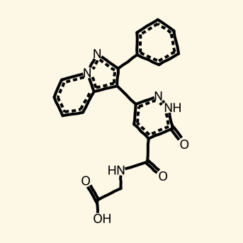 O=C(O)CNC(=O)c1cc(-c2c(-c3ccccc3)nn3ccccc23)n[nH]c1=O